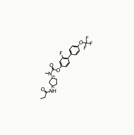 CCC(=O)N[C@H]1CC[C@@H](N(C)C(=O)Oc2ccc(-c3ccc(OC(F)(F)F)cc3)c(F)c2)C1